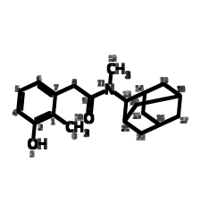 Cc1c(O)cccc1CC(=O)N(C)C1C2CC3CC(C2)CC1C3